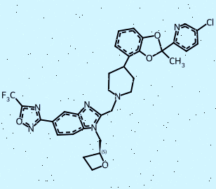 CC1(c2ccc(Cl)cn2)Oc2cccc(C3CCN(Cc4nc5cc(-c6noc(C(F)(F)F)n6)ccc5n4C[C@@H]4CCO4)CC3)c2O1